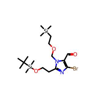 CC(C)(C)[Si](C)(C)OCCc1nc(Br)c(C=O)n1COCC[Si](C)(C)C